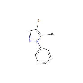 CC(C)c1c(Br)cnn1-c1ccccc1